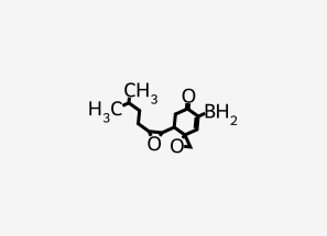 BC1=CC2(CO2)C(C2OC2CCC(C)C)CC1=O